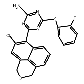 Nc1nc(Sc2ccccc2F)nc(-c2c(Cl)cc3c4c(cccc24)COC3)n1